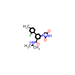 Cc1ccc(-c2cc(C(=O)NC(C)C)cc(N3CC(=O)NC3=O)c2)c(F)c1